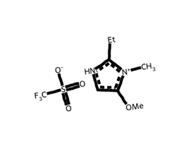 CCc1[nH]cc(OC)[n+]1C.O=S(=O)([O-])C(F)(F)F